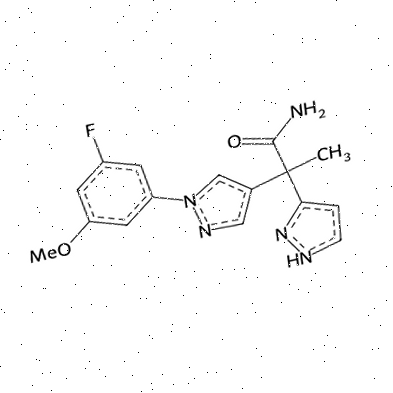 COc1cc(F)cc(-n2cc(C(C)(C(N)=O)c3cc[nH]n3)cn2)c1